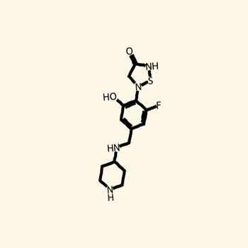 O=C1CN(c2c(O)cc(CNC3CCNCC3)cc2F)SN1